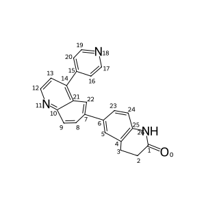 O=C1CCc2cc(-c3ccc4nccc(-c5ccncc5)c4c3)ccc2N1